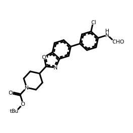 CC(C)(C)OC(=O)N1CCC(c2nc3cc(-c4ccc(NC=O)c(Cl)c4)ccc3o2)CC1